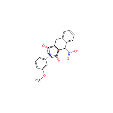 COc1cccc(N2C(=O)C3=C(C2=O)C2([N+](=O)[O-])c4ccccc4C3c3ccccc32)c1